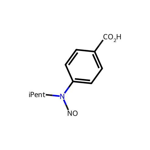 CCCC(C)N(N=O)c1ccc(C(=O)O)cc1